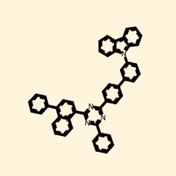 c1ccc(-c2nc(-c3ccc(-c4cccc(-n5c6ccccc6c6ccccc65)c4)cc3)nc(-c3ccc(-c4ccccc4)c4ccccc34)n2)cc1